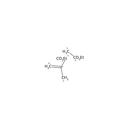 C=C(C)C(=O)OCC.CCOC(C)=O